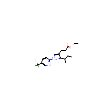 CCOC(=O)CCc1cn(-c2ccc(C(F)(F)F)cn2)nc1C(C)CC